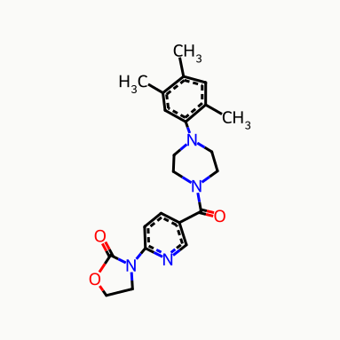 Cc1cc(C)c(N2CCN(C(=O)c3ccc(N4CCOC4=O)nc3)CC2)cc1C